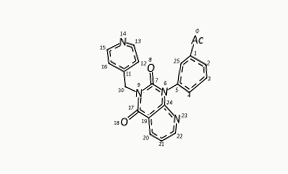 CC(=O)c1cccc(-n2c(=O)n(Cc3ccncc3)c(=O)c3cccnc32)c1